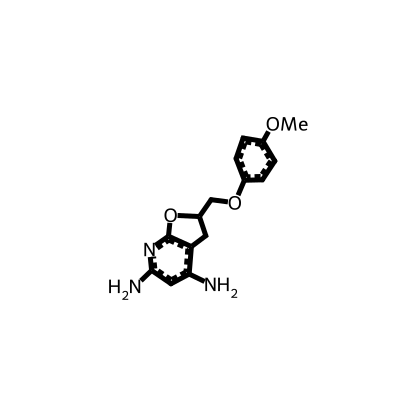 COc1ccc(OCC2Cc3c(N)cc(N)nc3O2)cc1